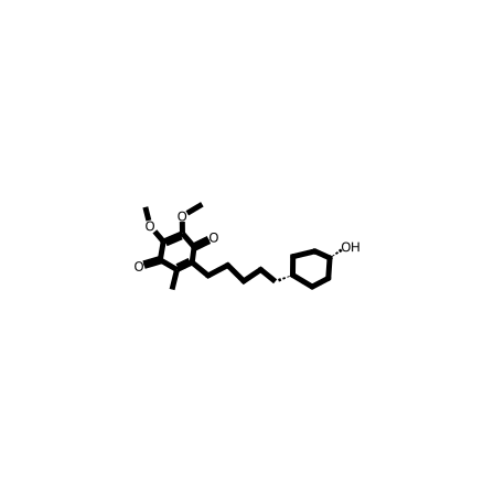 COC1=C(OC)C(=O)C(CCCCC[C@H]2CC[C@@H](O)CC2)=C(C)C1=O